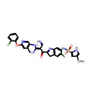 COc1c[nH]c(S(=O)(=O)Nc2cc3c(cc2F)CC(C(=O)/C(C=N)=C(\N)Nc2cnc(Oc4ccccc4F)cc2C)=N3)c1